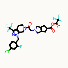 O=C(OC(=O)C(F)(F)F)C1CC2CN(CC(=O)N3CCc4c(C(F)(F)F)nn(Cc5ccc(Cl)cc5F)c4C3)CC2C1